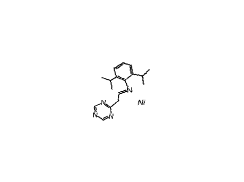 CC(C)c1cccc(C(C)C)c1N=CCc1ncncn1.[Ni]